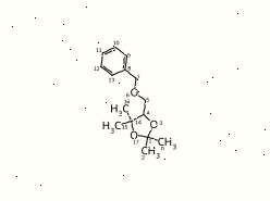 CC1(C)OC(COCc2ccccc2)C(C)(C)O1